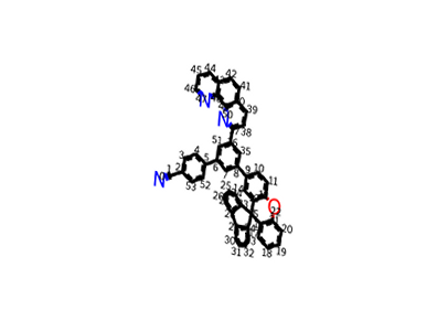 N#Cc1ccc(-c2cc(-c3ccc4c(c3)C3(c5ccccc5O4)c4ccccc4-c4ccccc43)cc(-c3ccc4ccc5cccnc5c4n3)c2)cc1